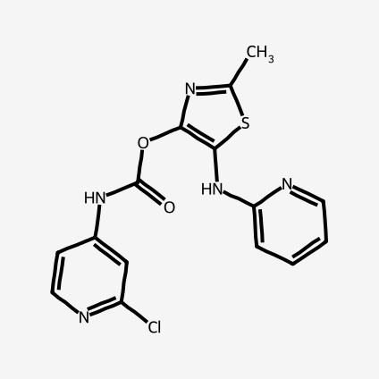 Cc1nc(OC(=O)Nc2ccnc(Cl)c2)c(Nc2ccccn2)s1